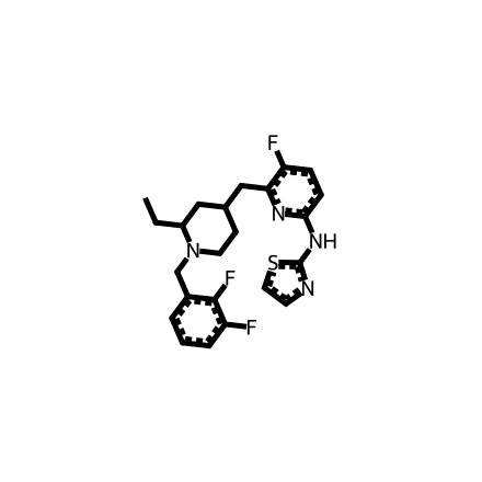 CCC1CC(Cc2nc(Nc3nccs3)ccc2F)CCN1Cc1cccc(F)c1F